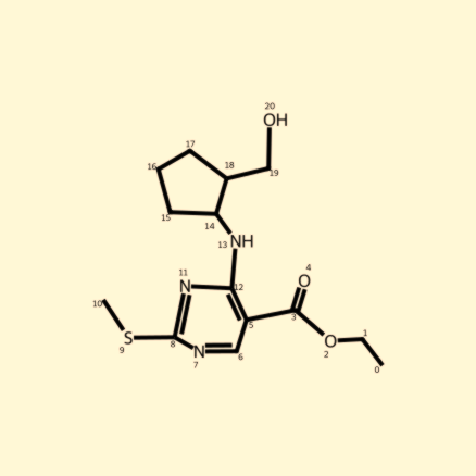 CCOC(=O)c1cnc(SC)nc1NC1CCCC1CO